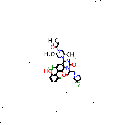 C=CC(=O)N1C[C@H](C)N(c2nc(=O)n3c4c(c(-c5c(O)cccc5F)c(Cl)cc24)OC[C@@H]3CN2CCC(F)(F)C2)C[C@H]1C